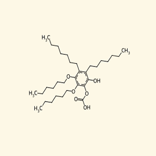 CCCCCCCc1c(O)c(OC(=O)O)c(OCCCCCC)c(OCCCCCC)c1CCCCCCC